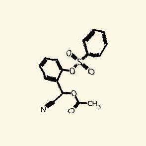 CC(=O)OC(C#N)c1ccccc1OS(=O)(=O)c1ccccc1